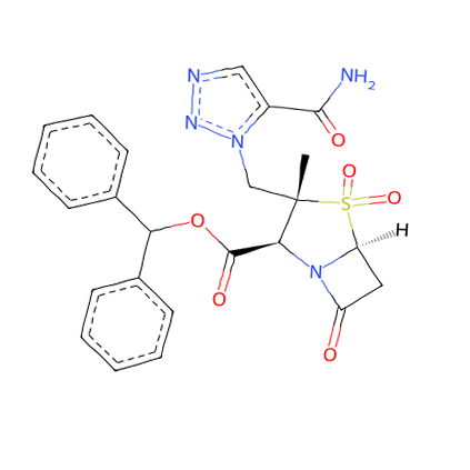 C[C@]1(Cn2nncc2C(N)=O)[C@H](C(=O)OC(c2ccccc2)c2ccccc2)N2C(=O)C[C@@H]2S1(=O)=O